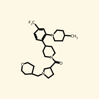 CC1CCN(c2cc(C(F)(F)F)ccc2C2CCN(C(=O)C3CCN(CC4CCOCC4)C3)CC2)CC1